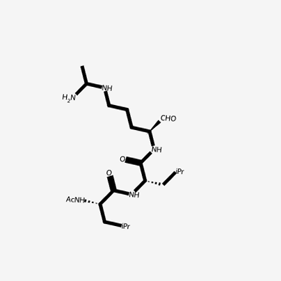 CC(=O)N[C@@H](CC(C)C)C(=O)N[C@@H](CC(C)C)C(=O)N[C@H](C=O)CCCNC(C)N